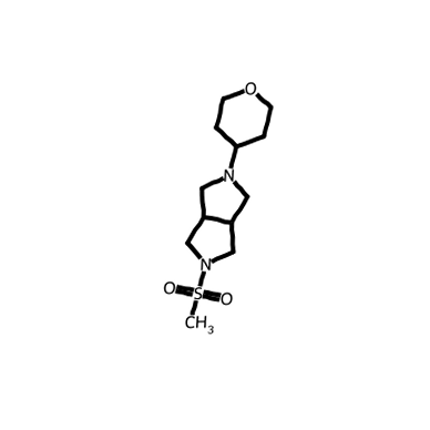 CS(=O)(=O)N1CC2CN(C3CCOCC3)CC2C1